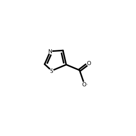 [O]C(=O)c1cncs1